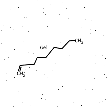 C=CCCCCCCC.[Ge]